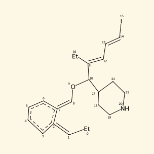 CC/C=c1/cccc/c1=C\OC(/C(=C/C=C/I)CC)C1CCNCC1